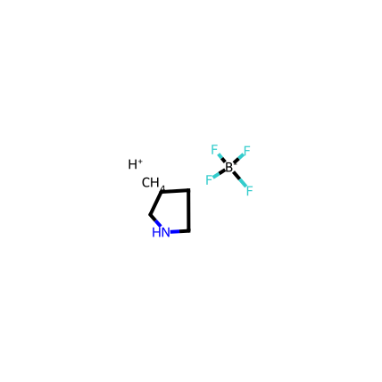 C.C1CCNC1.F[B-](F)(F)F.[H+]